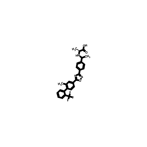 Cc1cc(-c2nc(-c3ccc(C(C)N[C@H](C)C(=O)O)cc3)no2)ccc1-c1ccccc1C(F)(F)F